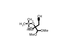 C#CCC(CCCC)(O[Si](C)(C)C)C(OC)OC